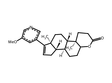 COc1cncc(C2=CC[C@H]3[C@@H]4CCC5OC(=O)CC[C@]5(C)[C@H]4CC[C@]23C)c1